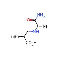 CCCCC(CN[C@@H](CC)C(N)=O)C(=O)O